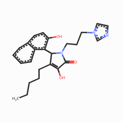 CCCCCC1=C(O)C(=O)N(CCCn2ccnc2)C1c1c(O)ccc2ccccc12